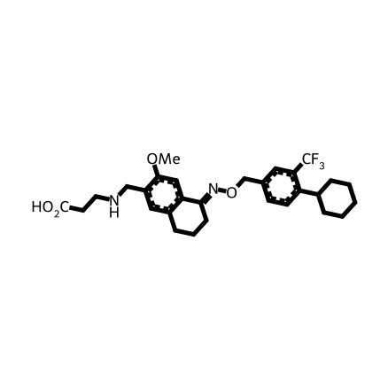 COc1cc2c(cc1CNCCC(=O)O)CCCC2=NOCc1ccc(C2CCCCC2)c(C(F)(F)F)c1